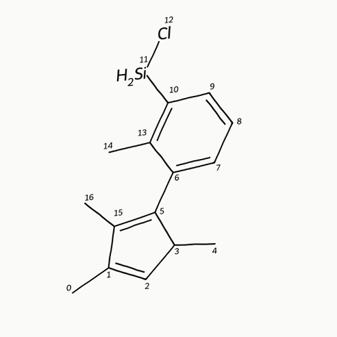 CC1=CC(C)C(c2cccc([SiH2]Cl)c2C)=C1C